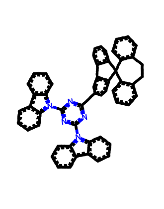 c1ccc2c(c1)CCc1ccccc1C21c2ccccc2-c2cc(-c3nc(-n4c5ccccc5c5ccccc54)nc(-n4c5ccccc5c5ccccc54)n3)ccc21